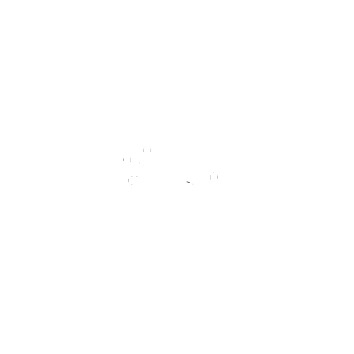 O=S(=O)(Cl)c1ccc([C@@H]2CCCCO2)cc1